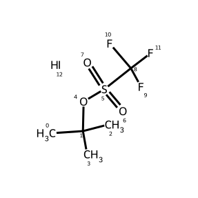 CC(C)(C)OS(=O)(=O)C(F)(F)F.I